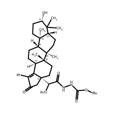 CC(=O)OC(C(=O)NNC(=O)OC(C)(C)C)[C@@]12CC[C@]3(C)[C@H](CC[C@@H]4[C@@]5(C)CC[C@H](O)C(C)(C)[C@@H]5CC[C@]43C)C1=C(C(C)C)C(=O)C2